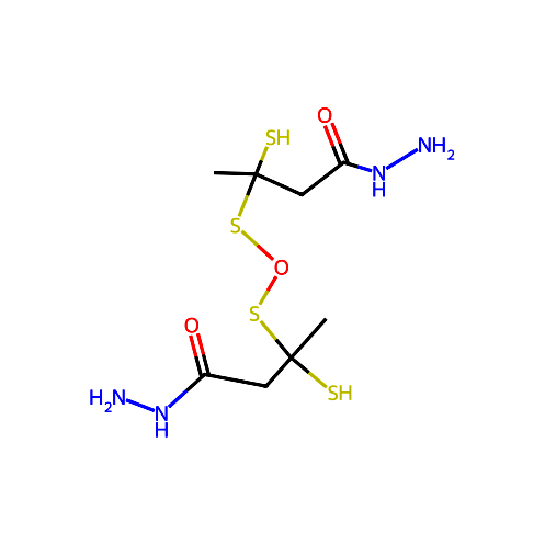 CC(S)(CC(=O)NN)SOSC(C)(S)CC(=O)NN